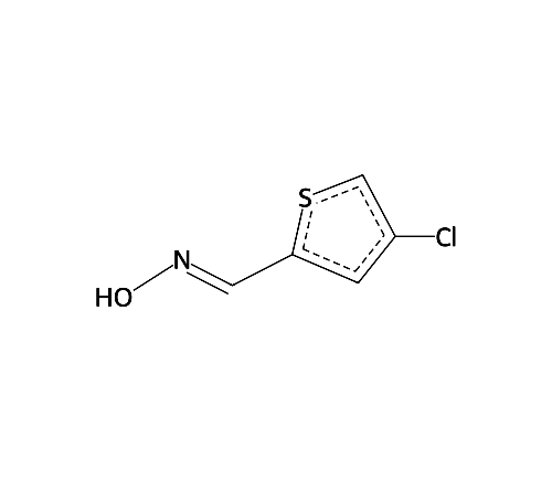 O/N=C/c1cc(Cl)cs1